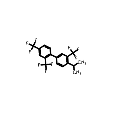 CC(C)c1ccc(-c2ccc(C(F)(F)F)cc2C(F)(F)F)cc1C(F)(F)F